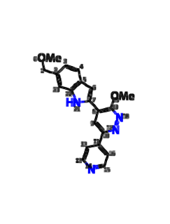 COCc1ccc2cc(-c3cc(-c4ccncc4)nnc3OC)[nH]c2c1